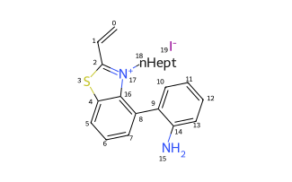 C=Cc1sc2cccc(-c3ccccc3N)c2[n+]1CCCCCCC.[I-]